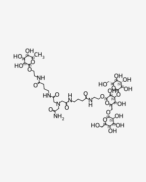 C[C@@H]1O[C@@H](OCCNC(=O)CCCNC(=O)CN(CC(N)=O)CC(=O)NCCCC(=O)NCCO[C@H]2O[C@H](CO[C@H]3O[C@H](CO)[C@@H](O)[C@H](O)[C@@H]3O)[C@@H](O)[C@H](O[C@H]3O[C@H](CO)[C@@H](O)[C@H](O)[C@@H]3O)[C@@H]2O)[C@@H](O)[C@H](O)[C@@H]1O